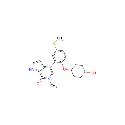 CSc1ccc(OC2CCC(O)CC2)c(-c2cn(C)c(=O)c3[nH]ccc23)c1